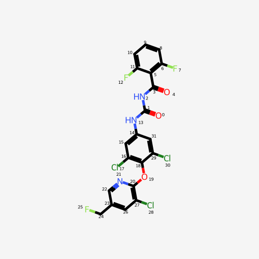 O=C(NC(=O)c1c(F)cccc1F)Nc1cc(Cl)c(Oc2ncc(CF)cc2Cl)c(Cl)c1